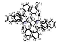 N#C/C(c1ccc2ccccc2n1)=c1\c2c(-c3ccc(O)cc3)n(B(c3ccccc3)c3ccccc3)/c(=C(/C#N)c3ccc4ccccc4n3)c2c(-c2ccc(O)cc2)n1B(c1ccccc1)c1ccccc1